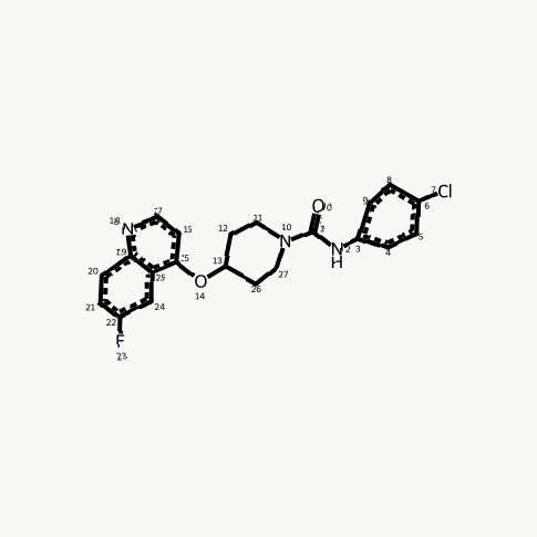 O=C(Nc1ccc(Cl)cc1)N1CCC(Oc2ccnc3ccc(F)cc23)CC1